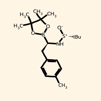 Cc1ccc(C[C@H](N[S@+]([O-])C(C)(C)C)B2OC(C)(C)C(C)(C)O2)cc1